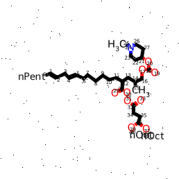 CCCCCC=CCC=CCCCCCCC(CC(C)COC(=O)OC1CCN(C)CC1)C(=O)OOC(=O)CCC(OCCCCCCCC)OCCCCCCCC